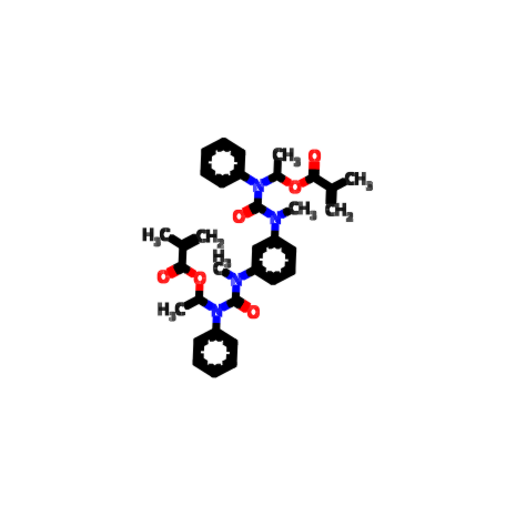 C=C(C)C(=O)OC(C)N(C(=O)N(C)c1cccc(N(C)C(=O)N(c2ccccc2)C(C)OC(=O)C(=C)C)c1)c1ccccc1